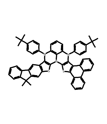 CC(C)(C)c1ccc(N2c3cccc4c3B(c3sc5cc6c(cc5c32)-c2ccccc2C6(C)C)c2sc3c5ccccc5c5ccccc5c3c2N4c2ccc(C(C)(C)C)cc2)cc1